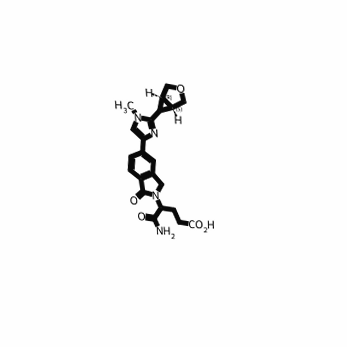 Cn1cc(-c2ccc3c(c2)CN(C(CCC(=O)O)C(N)=O)C3=O)nc1C1[C@H]2COC[C@@H]12